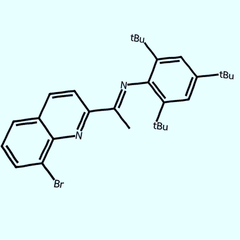 C/C(=N\c1c(C(C)(C)C)cc(C(C)(C)C)cc1C(C)(C)C)c1ccc2cccc(Br)c2n1